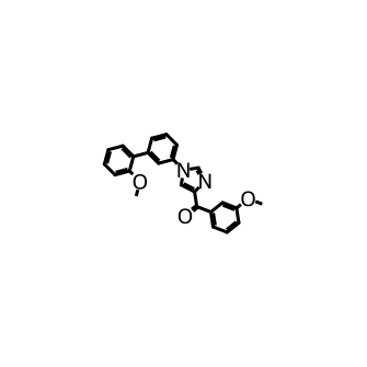 COc1cccc(C(=O)c2cn(-c3cccc(-c4ccccc4OC)c3)cn2)c1